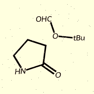 CC(C)(C)OC=O.O=C1CCCN1